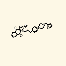 O=C1c2ccccc2C(=O)c2c1n[n+]([O-])n2CCCc1ccc(N2CCN(Cc3ccco3)CC2)cc1